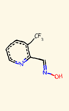 ON=Cc1ncccc1C(F)(F)F